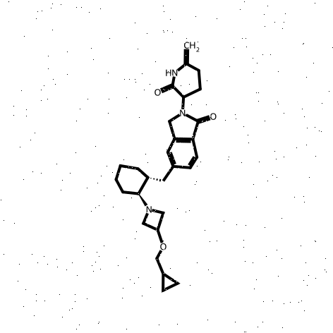 C=C1CCC(N2Cc3cc(C[C@H]4CCCC[C@@H]4N4CC(OCC5CC5)C4)ccc3C2=O)C(=O)N1